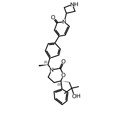 C[C@@H](c1ccc(-c2ccn(C3CNC3)c(=O)c2)cc1)N1CC[C@](CC(C)(C)O)(c2ccccc2)OC1=O